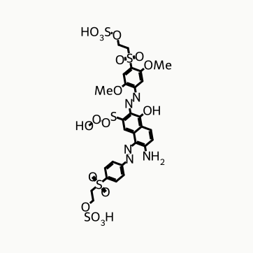 COc1cc(S(=O)(=O)CCOS(=O)(=O)O)c(OC)cc1N=Nc1c(SOOO)cc2c(N=Nc3ccc(S(=O)(=O)CCOS(=O)(=O)O)cc3)c(N)ccc2c1O